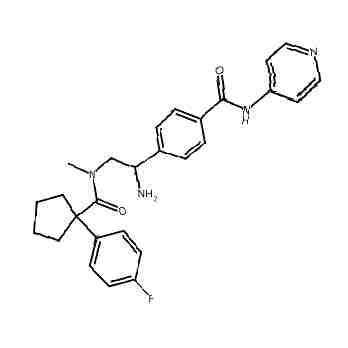 CN(CC(N)c1ccc(C(=O)Nc2ccncc2)cc1)C(=O)C1(c2ccc(F)cc2)CCCC1